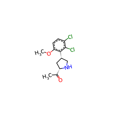 COc1ccc(Cl)c(Cl)c1[C@@H]1CN[C@H](C(C)=O)C1